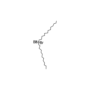 CCCCCCCCCCCCC[Te](Br)(Br)CCCCCCCCCCCCC